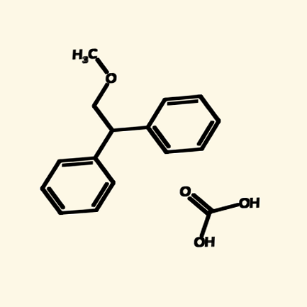 COCC(c1ccccc1)c1ccccc1.O=C(O)O